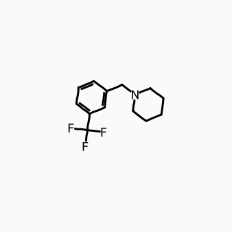 FC(F)(F)c1cccc(CN2CCCCC2)c1